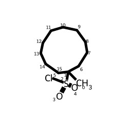 CC1(S(=O)(=O)Cl)CCCCCCCCCC1